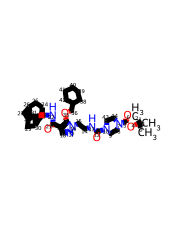 CC(C)(C)OC(=O)N1CCN(C(=O)NCCn2ncc(C(=O)NC3C4CC5CC6CC3C6(C5)C4)c2OCC2CCCCC2)CC1